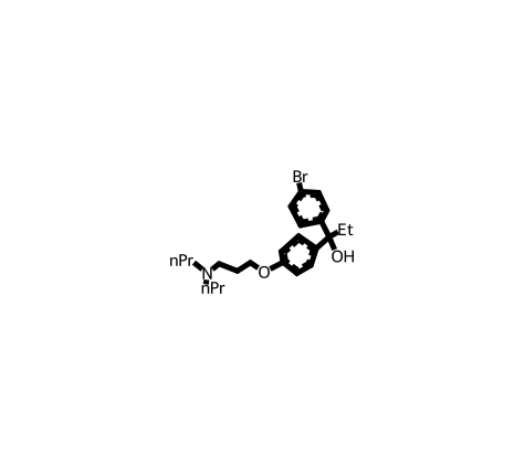 CCCN(CCC)CCCOc1ccc(C(O)(CC)c2ccc(Br)cc2)cc1